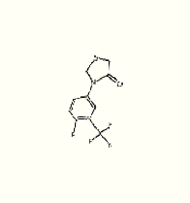 O=C1CSCN1c1ccc(F)c(C(F)(F)F)c1